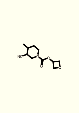 CC1CCN(C(=O)OC2COC2)CC1C#N